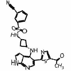 CC(=O)c1cnc(-c2cnc3[nH]ccc3c2N[C@H]2C[C@H](NS(=O)(=O)c3cccc(C#N)c3)C2)s1